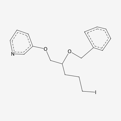 ICCCC(COc1cccnc1)OCc1ccccc1